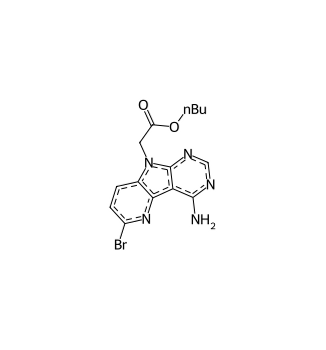 CCCCOC(=O)Cn1c2ccc(Br)nc2c2c(N)ncnc21